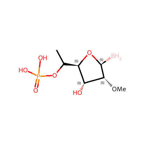 B[C@@H]1O[C@H](C(C)OP(=O)(O)O)[C@@H](O)[C@H]1OC